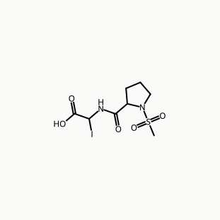 CS(=O)(=O)N1CCCC1C(=O)NC(I)C(=O)O